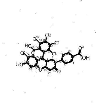 O=C(O)c1ccc(-c2cc3c(-c4c(Cl)c(Cl)c(Cl)c(Cl)c4C(=O)O)c4cc(Cl)c(O)cc4oc-3cc2=O)cc1